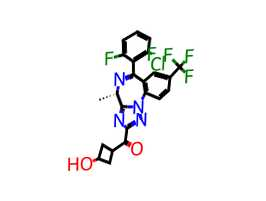 C[C@@H]1N=C(c2c(F)cccc2F)c2c(ccc(C(F)(F)F)c2Cl)-n2nc(C(=O)C3CC(O)C3)nc21